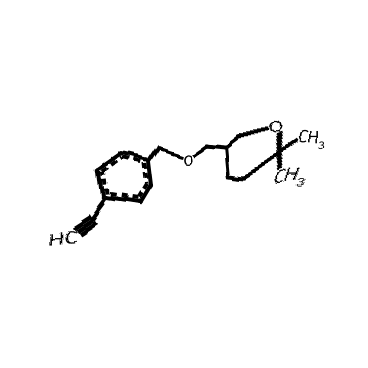 C#Cc1ccc(COCC2CCC(C)(C)OC2)cc1